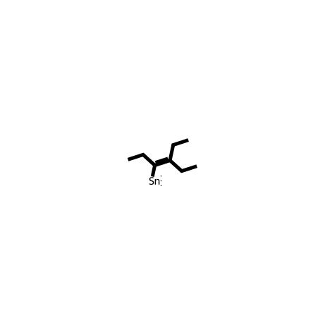 CC[C]([Sn])=C(CC)CC